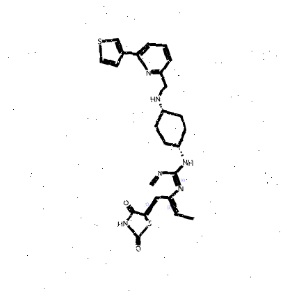 C=N\C(=N/C(=C\C)/C=C1\SC(=O)NC1=O)N[C@H]1CC[C@@H](NCc2cccc(-c3ccsc3)n2)CC1